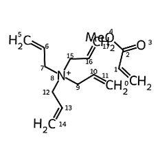 C=CC(=O)OC.C=CC[N+](CC=C)(CC=C)CC=C